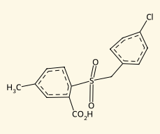 Cc1ccc(S(=O)(=O)Cc2ccc(Cl)cc2)c(C(=O)O)c1